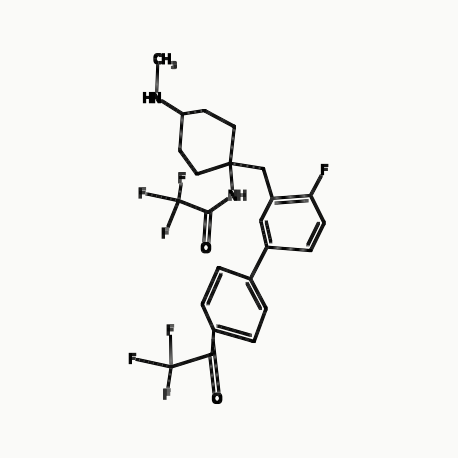 CNC1CCC(Cc2cc(-c3ccc(C(=O)C(F)(F)F)cc3)ccc2F)(NC(=O)C(F)(F)F)CC1